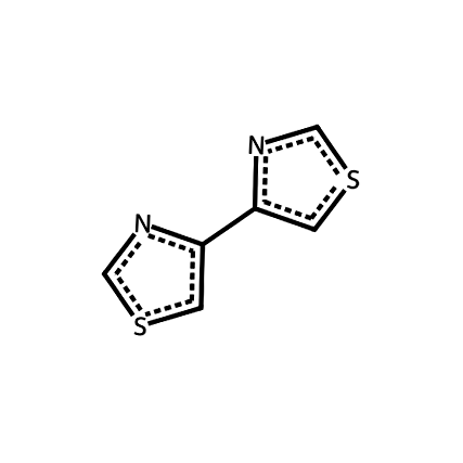 c1nc(-c2cscn2)cs1